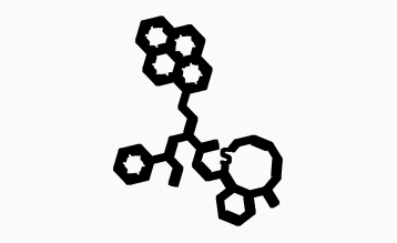 C=C/C(=C\C(=C/Cc1ccc2ccc3cccc4ccc1c2c34)C(=C)/C=C\C1=C2/CC=CC=C2C(=C)/C=C\C=C/CS1)c1ccccc1